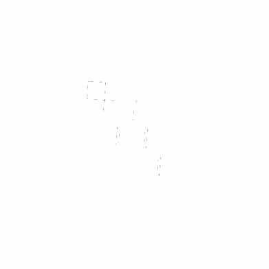 CCCC(=Cc1ccc(OC2(C(=O)O)CCC2)c(Cl)c1Cl)[N+](=O)[O-]